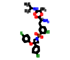 CC(C)NC(=O)C(C)OC(=O)[C@@H](N)Cc1cccc(S(=O)(=O)N2CC(Oc3ccc(F)cc3)(c3ccc(Cl)cc3)C2)c1.Cl